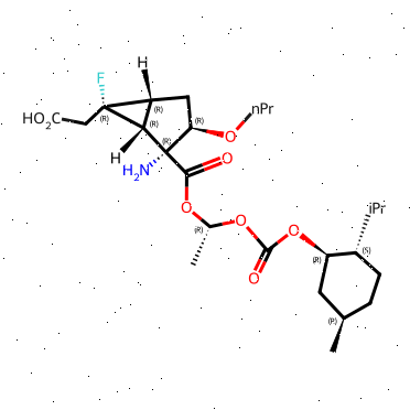 CCCO[C@@H]1C[C@@H]2[C@@H]([C@@]2(F)CC(=O)O)[C@]1(N)C(=O)O[C@@H](C)OC(=O)O[C@@H]1C[C@H](C)CC[C@H]1C(C)C